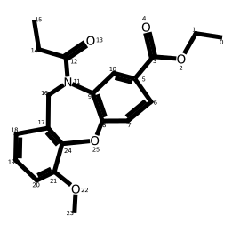 CCOC(=O)c1ccc2c(c1)N(C(=O)CC)Cc1cccc(OC)c1O2